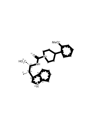 COc1ccccc1C1CCN(C(=O)N[C@@H](C(=O)O)[C@@H](C)c2c[nH]c3ccccc23)CC1